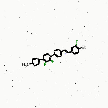 CCc1ccc(/C=C/c2ccc(-c3ccc(-c4ccc(C)cc4)c(F)c3F)cc2)cc1F